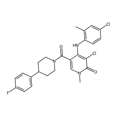 Cc1cc(Cl)ccc1Nc1c(C(=O)N2CCC(c3ccc(F)cc3)CC2)cn(C)c(=O)c1Cl